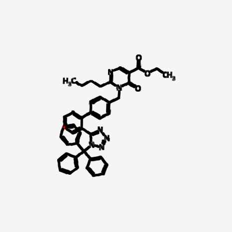 CCCCc1ncc(C(=O)OCC)c(=O)n1Cc1ccc(-c2ccccc2-c2nnnn2C(c2ccccc2)(c2ccccc2)c2ccccc2)cc1